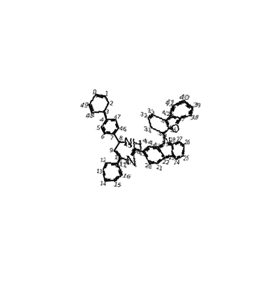 C1=CCC(c2ccc(C3C=C(c4ccccc4)N=C(c4ccc5c6ccccc6n(C6CC=Cc7c6oc6ccccc76)c5c4)N3)cc2)C=C1